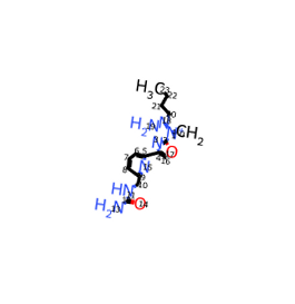 C=[N+](c1nc(-c2cccc(CNC(N)=O)n2)co1)N(N)CCCC